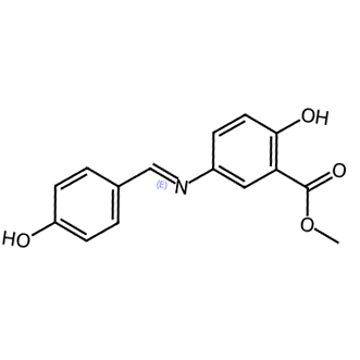 COC(=O)c1cc(/N=C/c2ccc(O)cc2)ccc1O